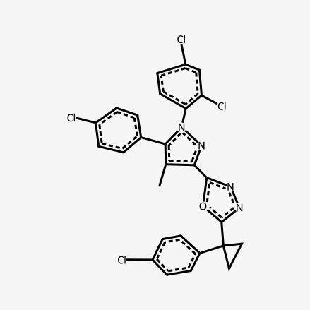 Cc1c(-c2nnc(C3(c4ccc(Cl)cc4)CC3)o2)nn(-c2ccc(Cl)cc2Cl)c1-c1ccc(Cl)cc1